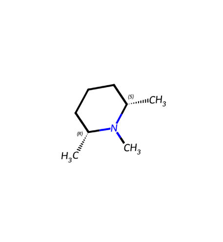 C[C@@H]1CCC[C@H](C)N1C